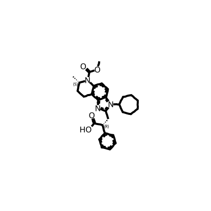 COC(=O)N1c2ccc3c(nc(C[C@@H](C(=O)O)c4ccccc4)n3C3CCCCCC3)c2CC[C@@H]1C